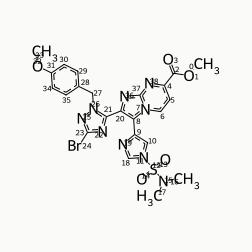 COC(=O)c1ccn2c(-c3cn(S(=O)(=O)N(C)C)cn3)c(-c3nc(Br)nn3Cc3ccc(OC)cc3)nc2n1